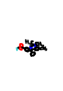 Cc1ccc2c(c1)N(C)C(C)Cn1c-2c(C2CCCCC2)c2ccc(C(=O)OCF)cc21